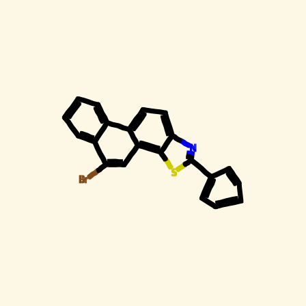 Brc1cc2c(ccc3nc(-c4ccccc4)sc32)c2ccccc12